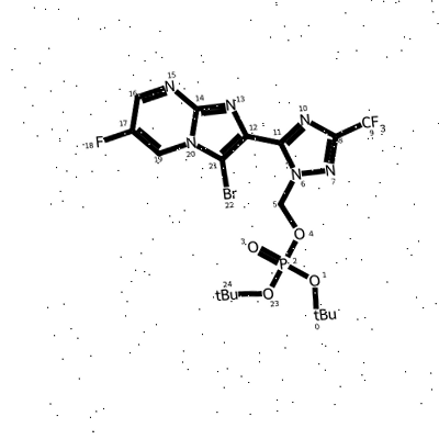 CC(C)(C)OP(=O)(OCn1nc(C(F)(F)F)nc1-c1nc2ncc(F)cn2c1Br)OC(C)(C)C